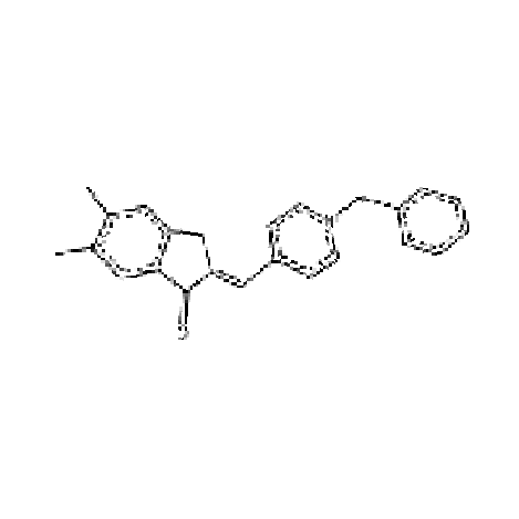 Cc1cc2c(cc1C)C(=O)/C(=C/c1cc[n+](Cc3ccccc3)cc1)C2